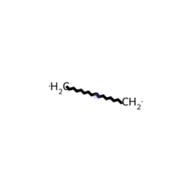 [CH2]CCCCCC/C=C/CCCCCCC[CH2]